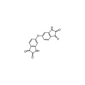 O=C1Nc2cc(Oc3ccc4c(c3)NC(=O)C4=O)ccc2C1=O